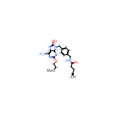 C#CCCC(=O)NCc1ccc(Cn2c(O)nc3c(N)nc(OCCOC)nc32)cc1